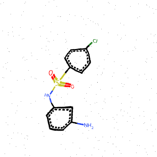 Nc1cccc(NS(=O)(=O)c2ccc(Cl)cc2)c1